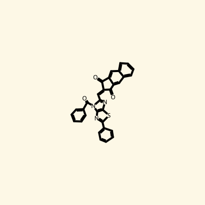 O=C1C(=Cc2nc3sc(-c4ccccc4)nc3n2C(=O)c2ccccc2)C(=O)c2cc3ccccc3cc21